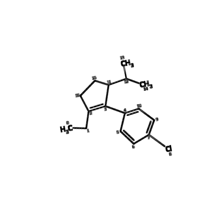 CCC1=C(c2ccc(Cl)cc2)C(C(C)C)CC1